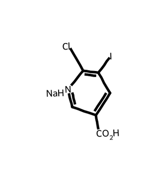 O=C(O)c1cnc(Cl)c(I)c1.[NaH]